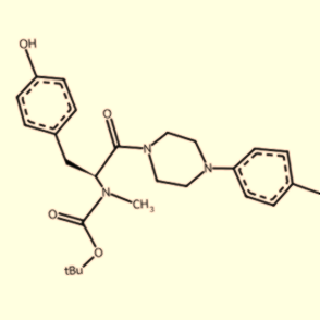 CN(C(=O)OC(C)(C)C)[C@@H](Cc1ccc(O)cc1)C(=O)N1CCN(c2ccc(I)cc2)CC1